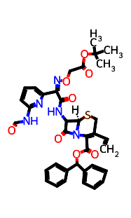 C=CC1=C(C(=O)OC(c2ccccc2)c2ccccc2)N2C(=O)C(NC(=O)/C(=N\OCC(=O)OC(C)(C)C)c3cccc(NC=O)n3)[C@H]2SC1